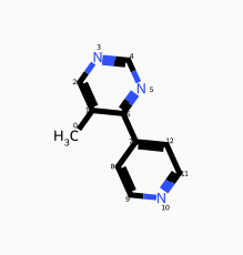 Cc1cncnc1-c1ccncc1